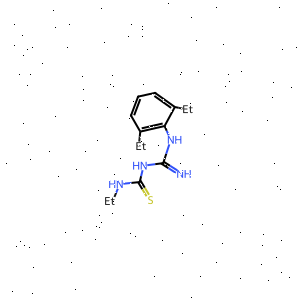 CCNC(=S)NC(=N)Nc1c(CC)cccc1CC